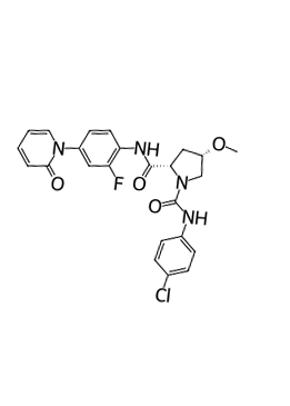 CO[C@H]1C[C@@H](C(=O)Nc2ccc(-n3ccccc3=O)cc2F)N(C(=O)Nc2ccc(Cl)cc2)C1